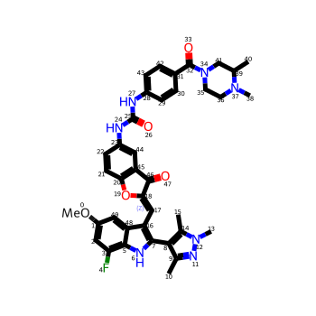 COc1cc(F)c2[nH]c(-c3c(C)nn(C)c3C)c(/C=C3\Oc4ccc(NC(=O)Nc5ccc(C(=O)N6CCN(C)C(C)C6)cc5)cc4C3=O)c2c1